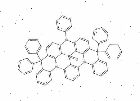 O=P12c3c4cccc3N3c5ccccc5C(c5ccccc5)(c5ccccc5)c5ccc(c1c53)N(c1ccccc1)c1ccc3c(c12)N4c1ccccc1C3(c1ccccc1)c1ccccc1